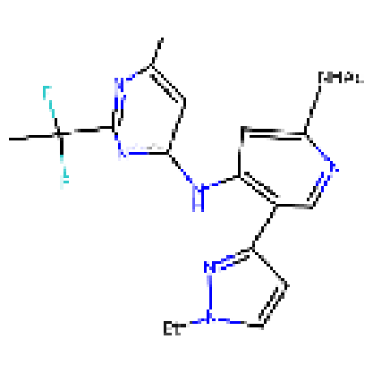 CCn1ccc(-c2cnc(NC(C)=O)cc2Nc2cc(C)nc(C(C)(F)F)n2)n1